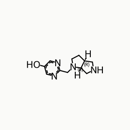 Oc1cnc(CN2CC[C@@H]3CNC[C@@H]32)nc1